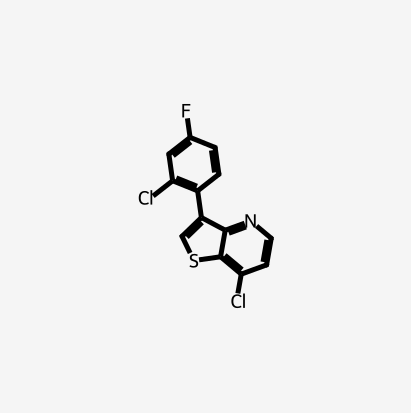 Fc1ccc(-c2csc3c(Cl)ccnc23)c(Cl)c1